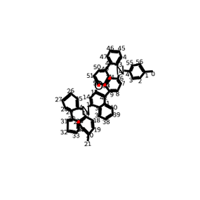 Cc1ccc(N(c2ccc3c(c2)oc2cc(N(c4ccc(C)cc4)c4ccccc4-c4ccccc4)c4ccccc4c23)c2ccccc2-c2ccccc2)cc1